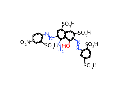 Nc1c(N=Nc2ccc([N+](=O)[O-])cc2S(=O)(=O)O)cc(S(=O)(=O)O)c2cc(S(=O)(=O)O)c(N=Nc3cc(S(=O)(=O)O)ccc3S(=O)(=O)O)c(O)c12